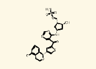 NS(=O)(=O)OC[C@H]1C[C@@H](Nc2ncncc2C(=O)c2cc([C@@H]3OCCc4c(Cl)cccc43)cs2)C[C@@H]1O